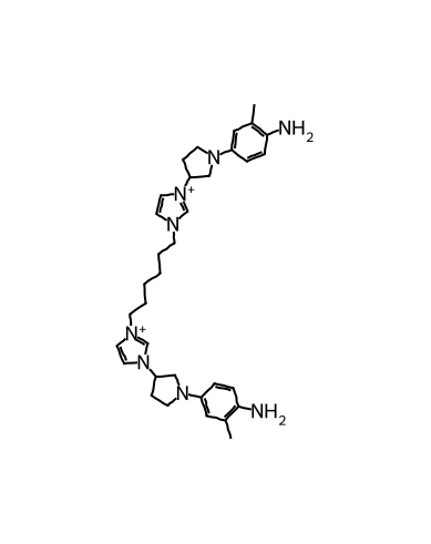 Cc1cc(N2CCC(n3cc[n+](CCCCCCn4cc[n+](C5CCN(c6ccc(N)c(C)c6)C5)c4)c3)C2)ccc1N